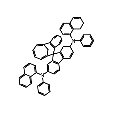 C1=C=CC(N(c2cccc3c2CCC=C3)C2C=CC3=C(C2)C2(C4=CC=CC=C(C4)C4=C2C=CCC=C4)c2cc(N(c4ccccc4)c4cccc5ccccc45)ccc23)=CC=1